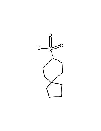 O=S(=O)(Cl)N1CCC2(CCCC2)CC1